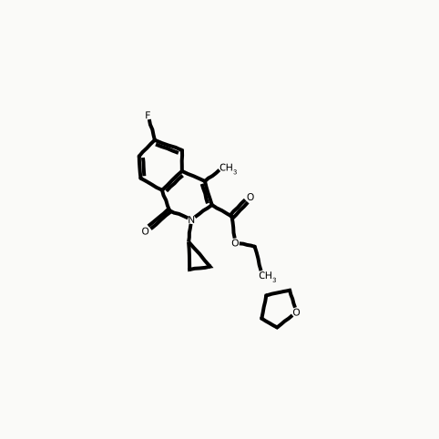 C1CCOC1.CCOC(=O)c1c(C)c2cc(F)ccc2c(=O)n1C1CC1